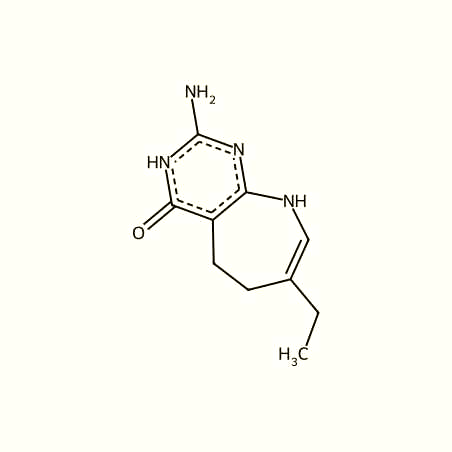 CCC1=CNc2nc(N)[nH]c(=O)c2CC1